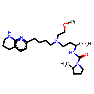 CC(C)OCCN(CCCCc1ccc2c(n1)NCCC2)CC[C@H](NC(=O)N1CCC[C@H]1C)C(=O)O